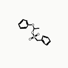 CC(Oc1ccccc1)OS(=O)(=O)Cc1ccccc1